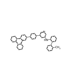 Cc1ccccc1-c1ccccc1Nc1cncc(-c2ccc(-c3ccc4c5ccccc5c5ccccc5c4c3)cc2)c1